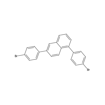 Brc1ccc(-c2ccc3c(-c4ccc(Br)cc4)cccc3c2)cc1